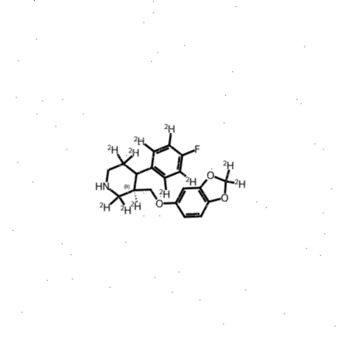 [2H]c1c([2H])c(C2C([2H])([2H])CNC([2H])([2H])[C@]2([2H])COc2ccc3c(c2)OC([2H])([2H])O3)c([2H])c([2H])c1F